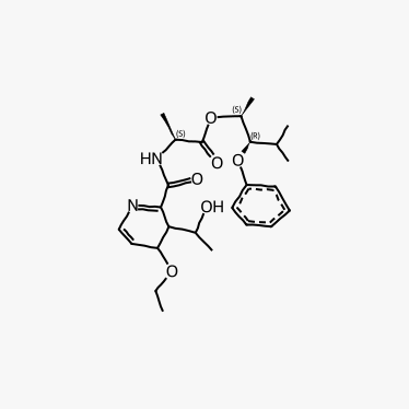 CCOC1C=CN=C(C(=O)N[C@@H](C)C(=O)O[C@@H](C)[C@H](Oc2ccccc2)C(C)C)C1C(C)O